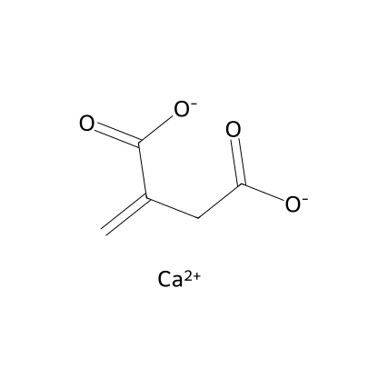 C=C(CC(=O)[O-])C(=O)[O-].[Ca+2]